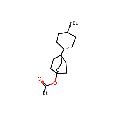 CCCC[C@H]1CC[C@H](C23CCC(OC(=O)CC)(CC2)CC3)CC1